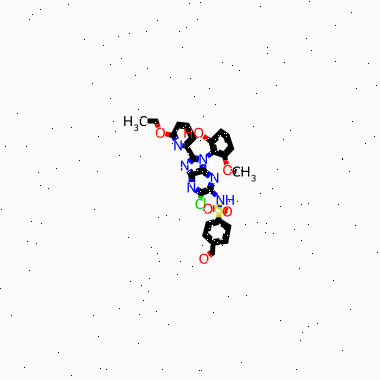 CCOC1=NC(c2nc3nc(Cl)c(NS(=O)(=O)c4ccc(C=O)cc4)nc3n2-c2c(O)cccc2OC)=C=C=C1